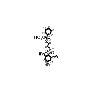 CC(C)c1cc(C(C)C)c(S(=O)(=O)NCCSC(C)(C(=O)O)c2ccccc2)c(C(C)C)c1